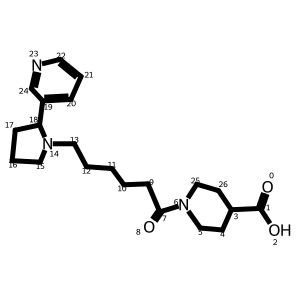 O=C(O)C1CCN(C(=O)CCCCCN2CCCC2c2cccnc2)CC1